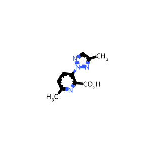 Cc1ccc(-n2ncc(C)n2)c(C(=O)O)n1